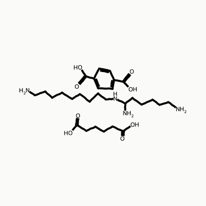 NCCCCCCCCCNC(N)CCCCCN.O=C(O)CCCCC(=O)O.O=C(O)c1ccc(C(=O)O)cc1